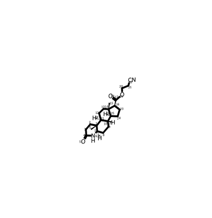 C[C@]12CCC(=O)N[C@@H]1CC[C@@H]1[C@@H]2CC[C@]2(C)[C@@H](C(=O)OCCC#N)CC[C@@H]12